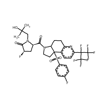 CC(C)(O)CN1C(=O)[C@H](F)C[C@@H]1C(=O)N1CCC2(S(=O)(=O)c3ccc(F)cc3)c3ccc(C(F)(C(F)(F)F)C(F)(F)F)nc3CCC12